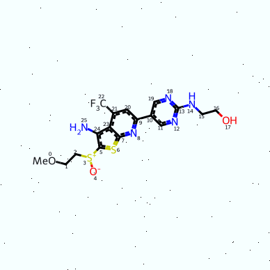 COCC[S+]([O-])c1sc2nc(-c3cnc(NCCO)nc3)cc(C(F)(F)F)c2c1N